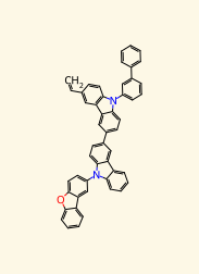 C=Cc1ccc2c(c1)c1cc(-c3ccc4c(c3)c3ccccc3n4-c3ccc4oc5ccccc5c4c3)ccc1n2-c1cccc(-c2ccccc2)c1